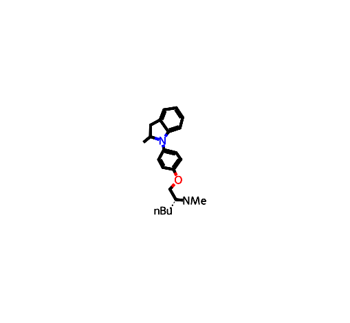 CCCC[C@H](COc1ccc(N2c3ccccc3CC2C)cc1)NC